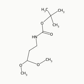 COC(CCNC(=O)OC(C)(C)C)OC